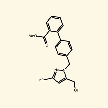 CCCc1cc(CO)n(Cc2ccc(-c3ccccc3C(=O)OC)cc2)n1